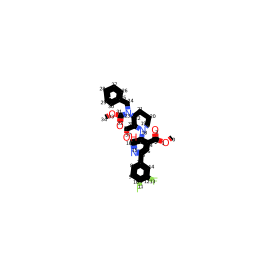 COC(=O)c1cc(-c2ccc(F)c(F)c2)ncc1N1CCCC(N(Cc2ccccc2)C(=O)OC)C1CO